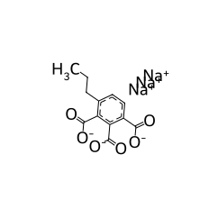 CCCc1ccc(C(=O)[O-])c(C(=O)[O-])c1C(=O)[O-].[Na+].[Na+].[Na+]